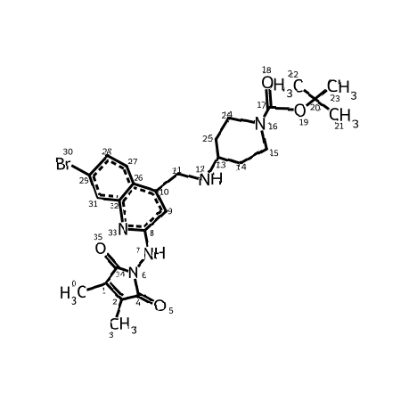 CC1=C(C)C(=O)N(Nc2cc(CNC3CCN(C(=O)OC(C)(C)C)CC3)c3ccc(Br)cc3n2)C1=O